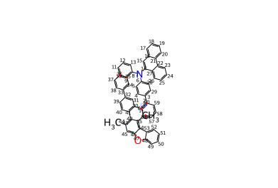 C/C(=C/c1ccc(N(c2ccccc2)c2cc3ccccc3c3ccccc23)cc1)c1cc(-c2ccccc2)ccc1-c1c(C)cc2oc3ccccc3c2c1-c1ccccc1